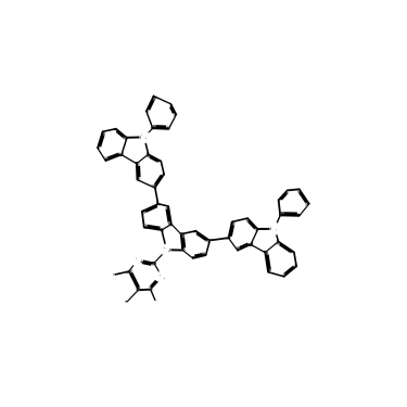 Clc1nc(-n2c3ccc(-c4ccc5c(c4)c4ccccc4n5-c4ccccc4)cc3c3cc(-c4ccc5c(c4)c4ccccc4n5-c4ccccc4)ccc32)nc(Cl)c1Cl